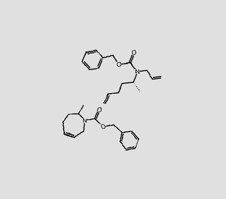 C=CCC[C@@H](C)N(CC=C)C(=O)OCc1ccccc1.CC1CCC=CCN1C(=O)OCc1ccccc1